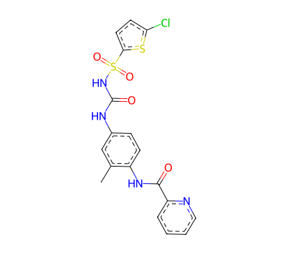 Cc1cc(NC(=O)NS(=O)(=O)c2ccc(Cl)s2)ccc1NC(=O)c1ccccn1